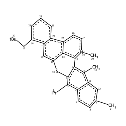 Cc1ccc2c(C(C)C)c3c(c(C)c2c1)-c1c2c(cc4c(CC(C)(C)C)cccc4c2cc[n+]1C)S3